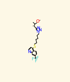 COCC(C)[CH]c1cn(CCCCCCSc2ccnc3cc(C(F)(F)F)ccc23)nn1